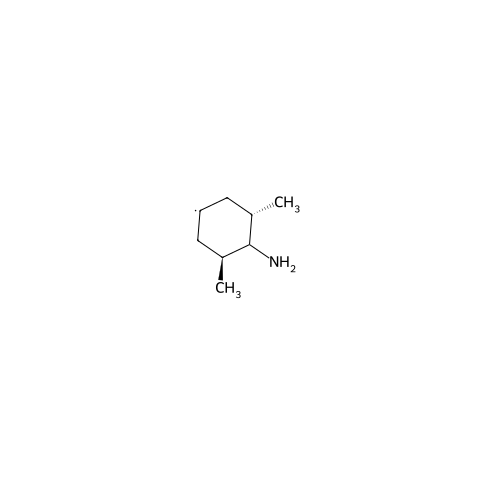 C[C@H]1C[CH]C[C@H](C)C1N